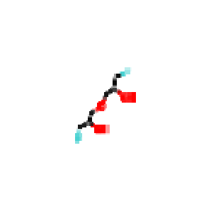 OC(CF)COCC(O)CF